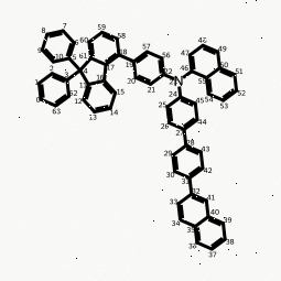 c1ccc(C2(c3ccccc3)c3ccccc3-c3c(-c4ccc(N(c5ccc(-c6ccc(-c7ccc8ccccc8c7)cc6)cc5)c5cccc6ccccc56)cc4)cccc32)cc1